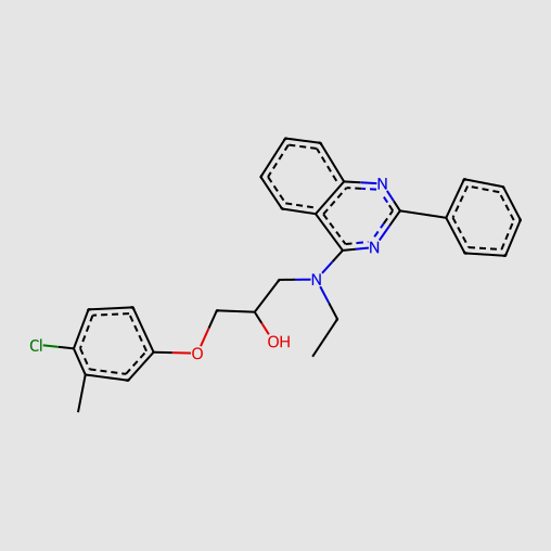 CCN(CC(O)COc1ccc(Cl)c(C)c1)c1nc(-c2ccccc2)nc2ccccc12